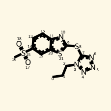 CCCn1nnnc1Sc1nc2ccc(S(C)(=O)=O)cc2s1